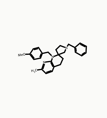 COc1ccc(CN2c3nc(C)ccc3CCC23CCN(Cc2ccccc2)C3)cc1